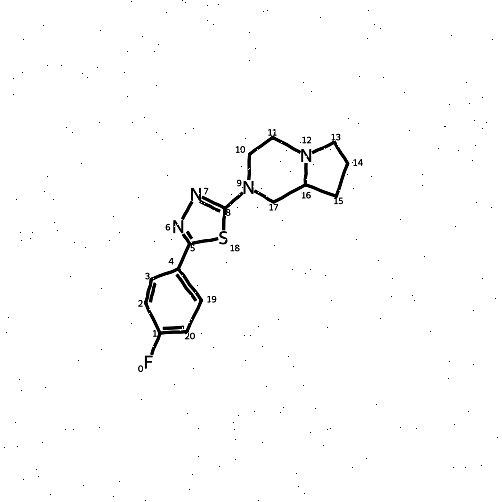 Fc1ccc(-c2nnc(N3CCN4CCCC4C3)s2)cc1